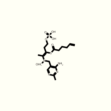 C=CCCCC(=O)SC(CCOP(=O)(O)O)=C(C)N(C=O)Cc1cnc(C)nc1N